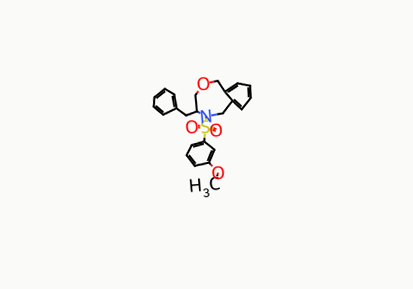 COc1cccc(S(=O)(=O)N2Cc3ccccc3COCC2Cc2ccccc2)c1